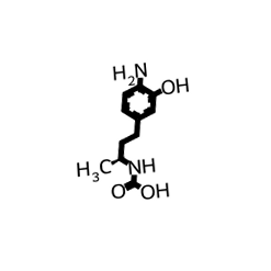 C[C@@H](CCc1ccc(N)c(O)c1)NC(=O)O